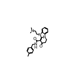 Cc1ccc(CNC(=O)C2=C3N(CCC2=O)c2ccccc2N3CCN(C)C)cc1